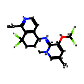 COc1nccc2c1C(F)(F)CCC2/N=c1/c(OC(F)F)cc(C(F)(F)F)cn1C